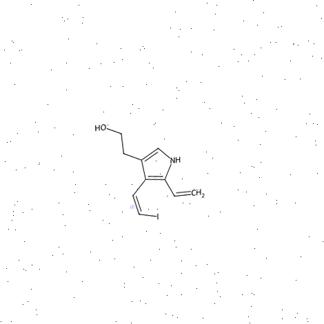 C=Cc1[nH]cc(CCO)c1/C=C\I